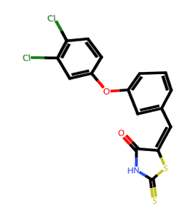 O=C1NC(=S)SC1=Cc1cccc(Oc2ccc(Cl)c(Cl)c2)c1